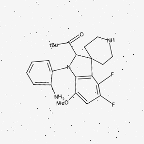 COc1cc(F)c(F)c2c1N(c1ccccc1N)C(C(=O)C(C)(C)C)C21CCNCC1